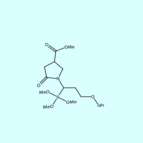 CCCOCCC(N1CC(C(=O)OC)CC1=O)[Si](OC)(OC)OC